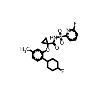 Cc1ccc(C2CCC(F)CC2)c(OC2(C(=O)NS(=O)(=O)c3cccc(F)n3)CC2)c1